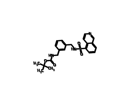 CC(C)(C)OC(=O)NCc1cccc(CNS(=O)(=O)c2cccc3cnccc23)c1